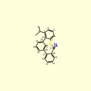 CC(C)c1cccc2sc3c(-c4ccccc4C#N)cccc3c12